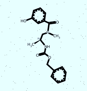 C[C@@H](CN(C)C(=O)c1cccc(O)c1)NC(=O)OCc1ccccc1